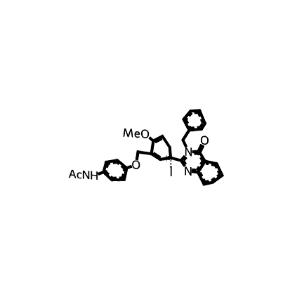 COC1=CC[C@@](I)(c2nc3ccccc3c(=O)n2Cc2ccccc2)C=C1COc1ccc(NC(C)=O)cc1